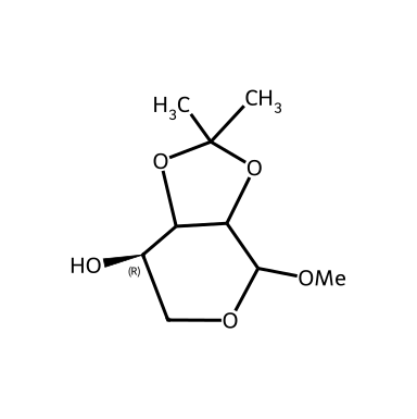 COC1OC[C@@H](O)C2OC(C)(C)OC12